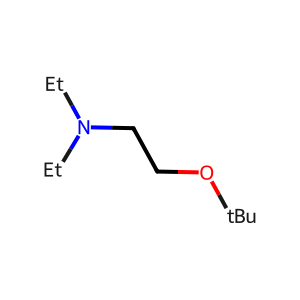 CCN(CC)CCOC(C)(C)C